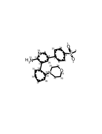 CS(=O)(=O)c1ccc(-c2cnc(N)c(-c3ccccc3N3CCOCC3)c2)cc1